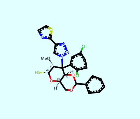 CO[C@H]1[C@@H](S)O[C@@H]2COC(c3ccccc3)O[C@@H]2C1(c1cc(Cl)ccc1Cl)n1cc(-c2nccs2)nn1